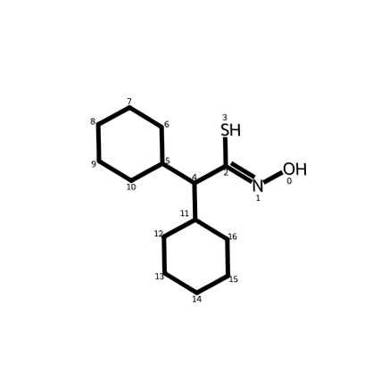 ON=C(S)C(C1CCCCC1)C1CCCCC1